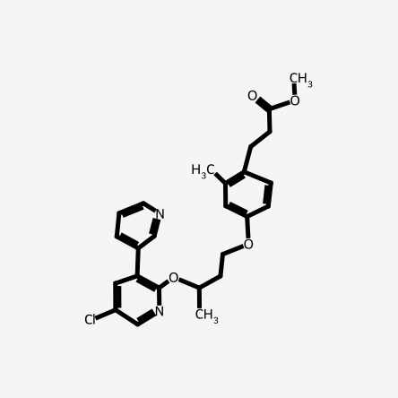 COC(=O)CCc1ccc(OCCC(C)Oc2ncc(Cl)cc2-c2cccnc2)cc1C